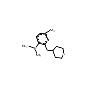 CN(C(=O)O)c1ccc(C(F)(F)F)nc1OC1CCOCC1